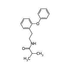 CC(C)C(=O)NCCc1ccccc1Oc1ccccc1